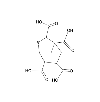 O=C(O)C1CC2(C(=O)O)CC(SC2C(=O)O)C1C(=O)O